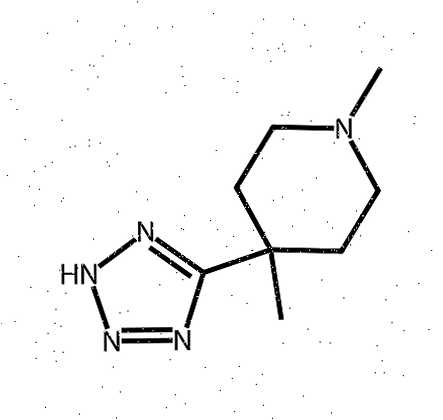 CN1CCC(C)(c2nn[nH]n2)CC1